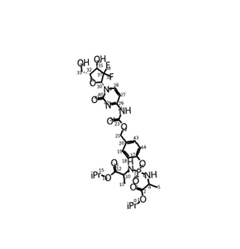 CC(C)OC(=O)C(C)NP(=O)(NC(C)C(=O)OC(C)C)Oc1ccc(COC(=O)Nc2ccn([C@@H]3O[C@H](CO)[C@@H](O)C3(F)F)c(=O)n2)cc1